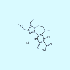 CCn1c(COC)nc2c1CC[C@H](C)c1c-2[nH]c(=O)c(C(=O)O)c1O.Cl